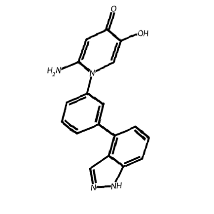 Nc1cc(=O)c(O)cn1-c1cccc(-c2cccc3[nH]ncc23)c1